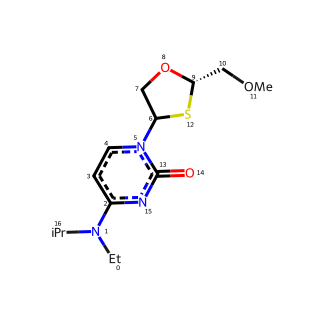 CCN(c1ccn(C2CO[C@H](COC)S2)c(=O)n1)C(C)C